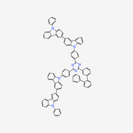 c1ccc(-c2ccccc2-c2cccc(-c3nc(-c4ccc(-n5c6ccccc6c6cc(-c7ccc8c(c7)c7ccccc7n8-c7ccccc7)ccc65)cc4)nc(-c4ccc(-n5c6ccccc6c6cc(-c7ccc8c(c7)c7ccccc7n8-c7ccccc7)ccc65)cc4)n3)c2)cc1